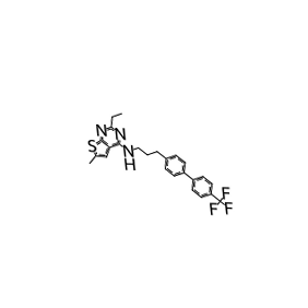 CCc1nc(NCCCc2ccc(-c3ccc(C(F)(F)F)cc3)cc2)c2cc(C)sc2n1